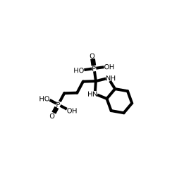 O=P(O)(O)CCCC1(P(=O)(O)O)NC2CCCCC2N1